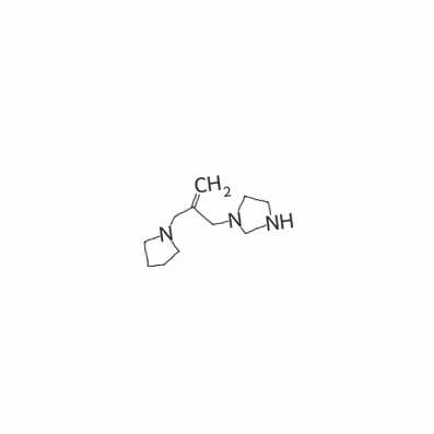 C=C(CN1CCCC1)CN1CCNC1